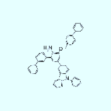 Nc1c(OCc2ccc(-c3ccccc3)cc2)cc(-c2ccc3c(c2)c2ccccc2n3-c2ccccc2)cc1-c1cccc(-c2ccccc2)c1